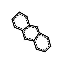 [c]1ccc2[c]c3ccccc3[c]c2c1